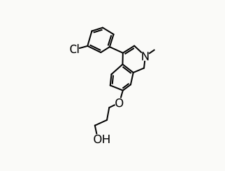 CN1C=C(c2cccc(Cl)c2)c2ccc(OCCCO)cc2C1